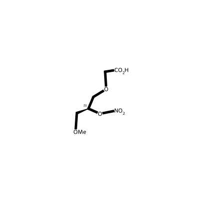 COC[C@@H](COCC(=O)O)O[N+](=O)[O-]